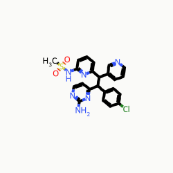 CS(=O)(=O)Nc1cccc(C(c2cccnc2)C(c2ccc(Cl)cc2)c2ccnc(N)n2)n1